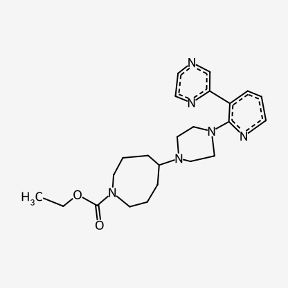 CCOC(=O)N1CCCC(N2CCN(c3ncccc3-c3cnccn3)CC2)CCC1